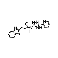 O=C(CCc1nc2ccccc2s1)Nc1nnc(-c2ccccn2)[nH]1